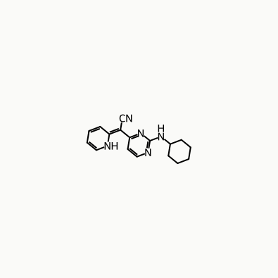 N#C/C(=C1\C=CC=CN1)c1ccnc(NC2CCCCC2)n1